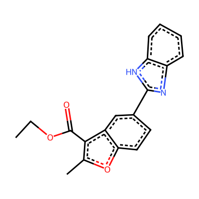 CCOC(=O)c1c(C)oc2ccc(-c3nc4ccccc4[nH]3)cc12